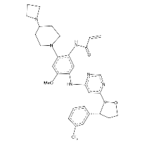 C=CC(=O)Nc1cc(Nc2cc(N3OCC[C@@H]3c3cccc(C(F)(F)F)c3)ncn2)c(OC)cc1N1CCC(N2CCC2)CC1